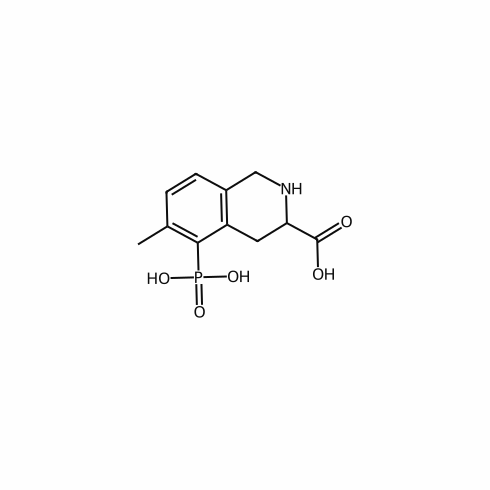 Cc1ccc2c(c1P(=O)(O)O)CC(C(=O)O)NC2